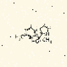 Cc1cccc([C@](C)(O)C2CCCO2)n1